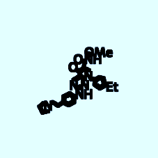 CCc1ccc(-n2cc(C(=O)NOC)c(=O)c3cnc(Nc4ccc(CCN5CCCC5)cc4)nc32)cc1